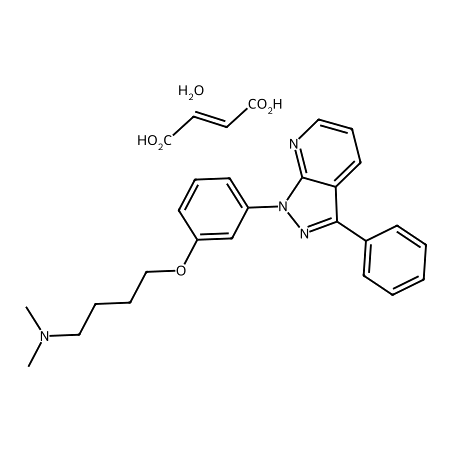 CN(C)CCCCOc1cccc(-n2nc(-c3ccccc3)c3cccnc32)c1.O.O=C(O)C=CC(=O)O